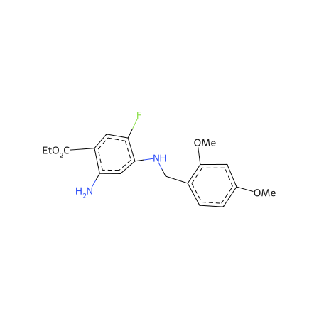 CCOC(=O)c1cc(F)c(NCc2ccc(OC)cc2OC)cc1N